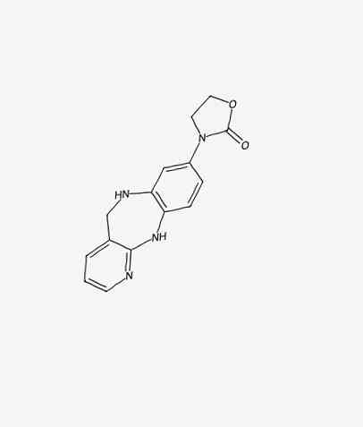 O=C1OCCN1c1ccc2c(c1)NCc1cccnc1N2